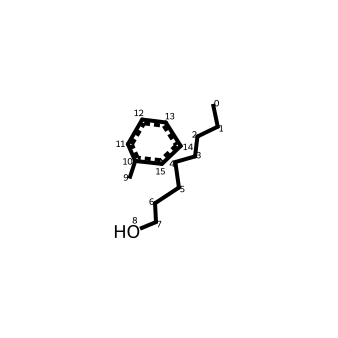 CCCCCCCCO.Cc1ccccc1